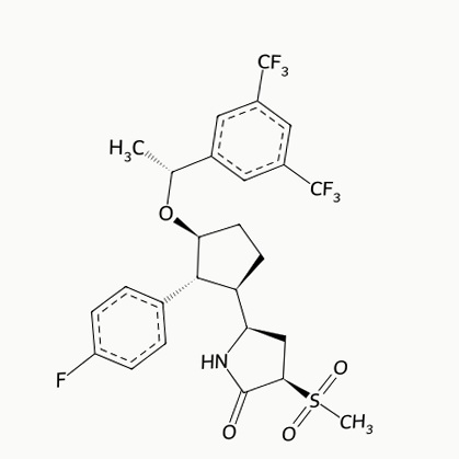 C[C@@H](O[C@H]1CC[C@@H]([C@H]2C[C@@H](S(C)(=O)=O)C(=O)N2)[C@@H]1c1ccc(F)cc1)c1cc(C(F)(F)F)cc(C(F)(F)F)c1